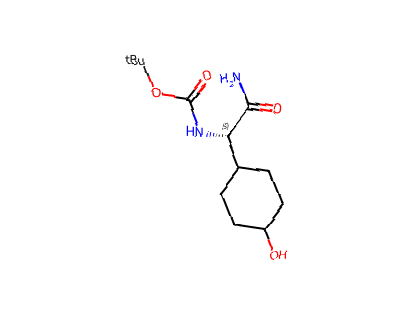 CC(C)(C)OC(=O)N[C@H](C(N)=O)C1CCC(O)CC1